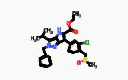 CCOC(=O)c1[nH]c2c(C(C)C)n(Cc3ccccc3)nc2c1-c1ccc(C[S+](C)[O-])c(Cl)c1